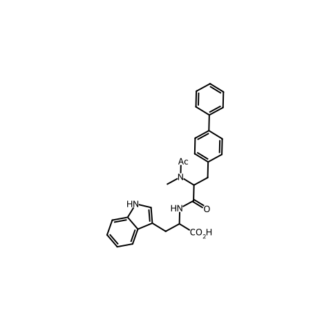 CC(=O)N(C)C(Cc1ccc(-c2ccccc2)cc1)C(=O)NC(Cc1c[nH]c2ccccc12)C(=O)O